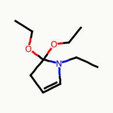 CCOC1(OCC)CC=CN1CC